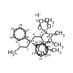 CCC[P+](CC([Si](OC)(OC)OC)[Si](OC)(OC)OC)(c1ccccc1)c1ccccc1.[I-]